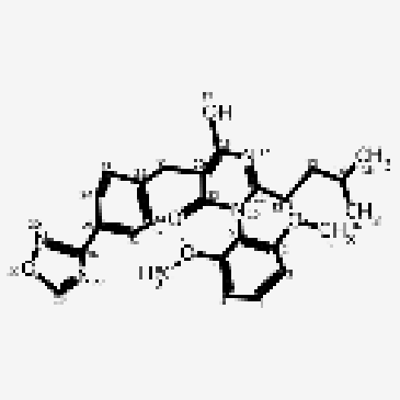 COc1cccc(OC)c1-n1c(CCC(C)C)nc(O)c(Cc2ccc(-c3ncon3)cc2)c1=O